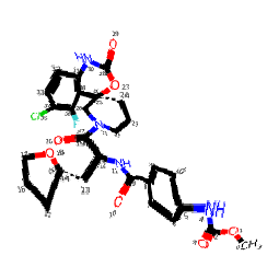 COC(=O)Nc1ccc(C(=O)NC(C[C@@H]2CCCO2)C(=O)N2CCC[C@@]3(C2)OC(=O)Nc2ccc(Cl)c(F)c23)cc1